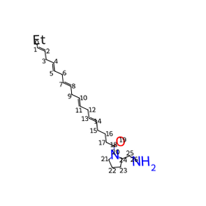 CCC=CCC=CCC=CCC=CCC=CCCCC(=O)N1CCCC1CN